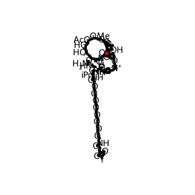 CO[C@H]1/C=C/O[C@@]2(C)Oc3c(C)c(O)c4c(=O)c(c5oc6cc(OCC[N+](C)(C)Cc7ccc(NC(=O)[C@H](CCCNC(N)=O)NC(=O)[C@@H](NC(=O)CCOCCOCCOCCOCCOCCOCCOCCOCCNC(=O)CCN8C(=O)CC(I)C8=O)C(C)C)cc7)ccc6nc-5c4c3C2=O)NC(=O)/C(C)=C\C=C\[C@H](C)[C@H](O)[C@@H](C)[C@@H](O)[C@@H](C)[C@H](OC(C)=O)[C@@H]1C